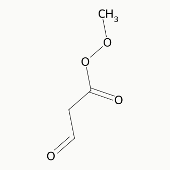 COOC(=O)CC=O